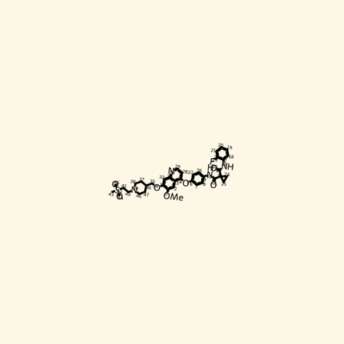 COc1cc2c(Oc3ccc(NC(=O)C4(C(=O)Nc5ccccc5F)CC4)cc3)ccnc2cc1OCC1CCN(CCS(C)(=O)=O)CC1